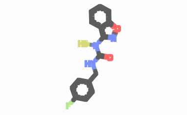 O=C(NCc1ccc(F)cc1)N(S)c1noc2ccccc12